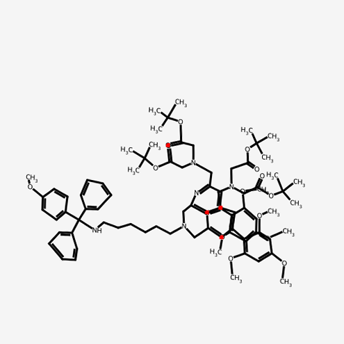 COc1ccc(C(NCCCCCCN(Cc2cc(-c3c(OC)cc(OC)cc3OC)cc(CN(CC(=O)OC(C)(C)C)CC(=O)OC(C)(C)C)n2)Cc2cc(-c3c(OC)cc(OC)cc3OC)cc(CN(CC(=O)OC(C)(C)C)CC(=O)OC(C)(C)C)n2)(c2ccccc2)c2ccccc2)cc1